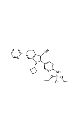 CCOP(=O)(Nc1ccc(C2C(C#N)c3ccc(-c4ccccn4)cc3N2C2CCC2)cc1)OCC